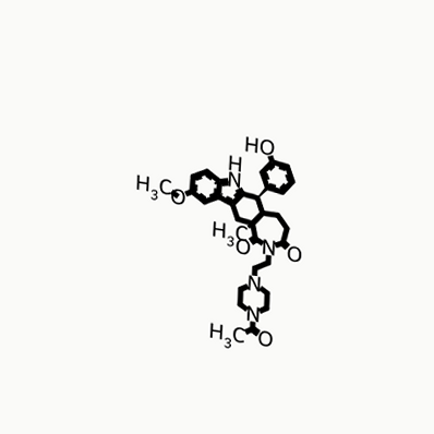 COc1ccc2[nH]c3c(c2c1)C[C@@]1(C)C(=O)N(CCN2CCN(C(C)=O)CC2)C(=O)CCC1[C@@H]3c1cccc(O)c1